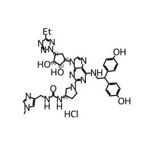 CCc1nnn([C@H]2C[C@@H](n3cnc4c(NCC(c5ccc(O)cc5)c5ccc(O)cc5)nc(N5CC[C@@H](NC(=O)NCc6cn(C)cn6)C5)nc43)[C@H](O)[C@@H]2O)n1.Cl